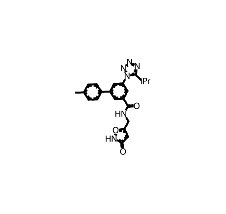 Cc1ccc(-c2cc(C(=O)NCc3cc(=O)[nH]o3)cc(-n3nnnc3C(C)C)c2)cc1